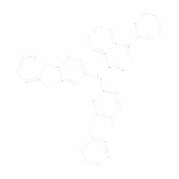 c1ccc(-c2ccc(N(c3ccc4c(c3)Oc3ccccc3O4)c3ccc4c(c3)oc3ccccc34)c3ccccc23)cc1